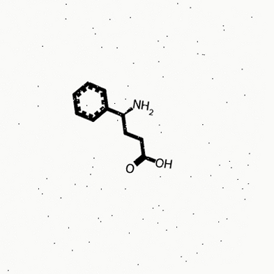 N[C@@H](CCC(=O)O)c1ccccc1